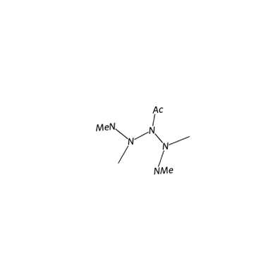 CNN(C)N(C(C)=O)N(C)NC